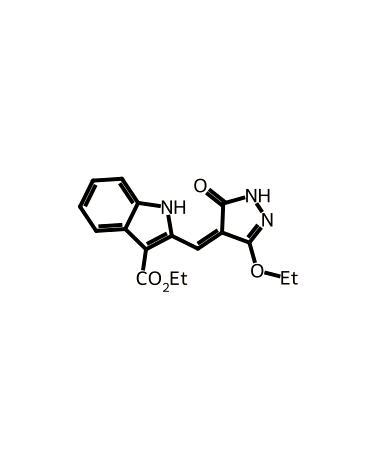 CCOC(=O)c1c(C=C2C(=O)NN=C2OCC)[nH]c2ccccc12